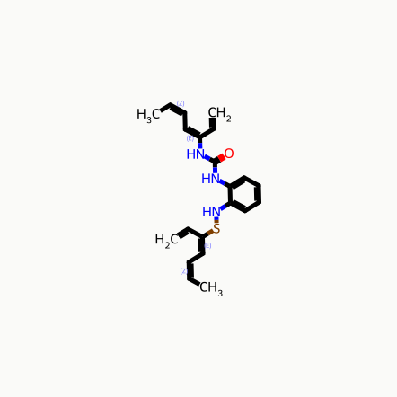 C=C/C(=C\C=C/C)NC(=O)Nc1ccccc1NS/C(C=C)=C/C=C\C